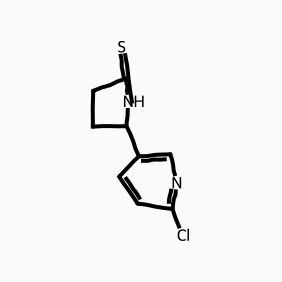 S=C1CCC(c2ccc(Cl)nc2)N1